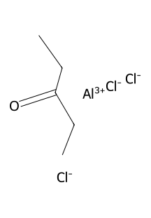 CCC(=O)CC.[Al+3].[Cl-].[Cl-].[Cl-]